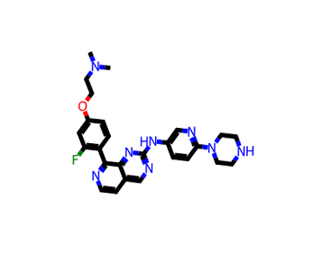 CN(C)CCOc1ccc(-c2nccc3cnc(Nc4ccc(N5CCNCC5)nc4)nc23)c(F)c1